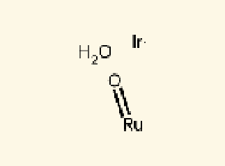 O.[Ir].[O]=[Ru]